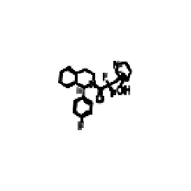 O=C(N1CCc2ccccc2[C@@H]1c1ccc(F)cc1)C(F)(F)C1(O)CN2CCC1CC2